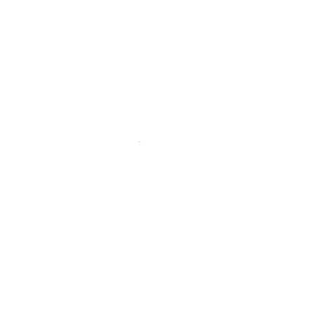 O=C1C[C@@H](C(=O)O)N(P)C1